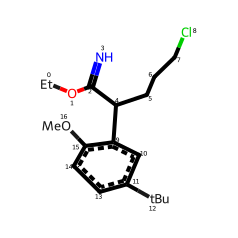 CCOC(=N)C(CCCCl)c1cc(C(C)(C)C)ccc1OC